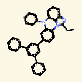 CCc1nc2cccc3c2n1-c1ccc(-c2cc(-c4ccccc4)cc(-c4ccccc4)c2)cc1N3c1ccccc1